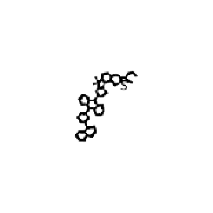 C/C=C\c1c(C)sc2cc3c4c(ccc3cc12)C(C)(C)c1cc(-c2c3ccccc3c(-c3cccc(-c5cccc6ccccc56)c3)c3ccccc23)ccc1-4